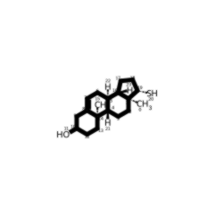 C[C@]12CC[C@H]3[C@@H](CC=C4CC(O)CC[C@@]43C)[C@@H]1CC[C@@H]2S